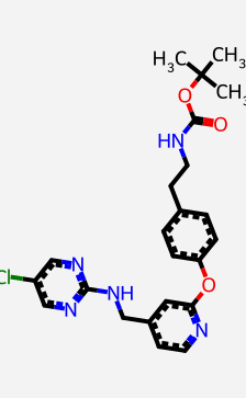 CC(C)(C)OC(=O)NCCc1ccc(Oc2cc(CNc3ncc(Cl)cn3)ccn2)cc1